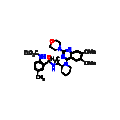 CCOC(=O)Nc1ccc(C)cc1C(=O)NC(C)C1CCCCN1c1nc(N2CCOCC2)nc2cc(OC)c(OC)cc12